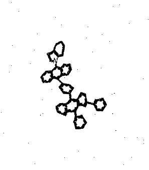 C1=CC2=C(CC1)CCN2c1c2ccccc2c(-c2ccc(-c3c4ccccc4c(-c4ccccc4)c4cc(-c5ccccc5)ccc34)cc2)c2ccccc12